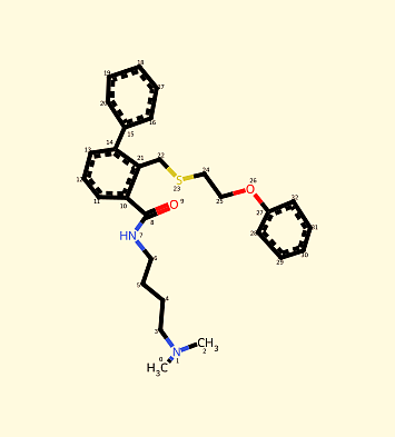 CN(C)CCCCNC(=O)c1cccc(-c2ccccc2)c1CSCCOc1ccccc1